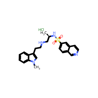 C[C@H](CNCCc1cn(C)c2ccccc12)NS(=O)(=O)c1ccc2cnccc2c1.Cl